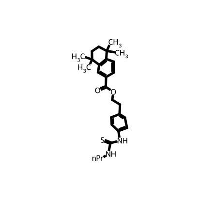 CCCNC(=S)Nc1ccc(CCOC(=O)c2ccc3c(c2)C(C)(C)CCC3(C)C)cc1